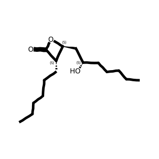 CCCCCC[C@@H]1C(=O)O[C@H]1C[C@@H](O)CCCCC